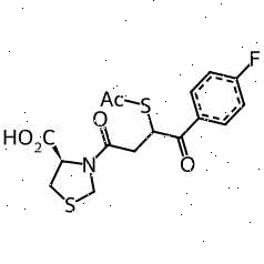 CC(=O)SC(CC(=O)N1CSC[C@H]1C(=O)O)C(=O)c1ccc(F)cc1